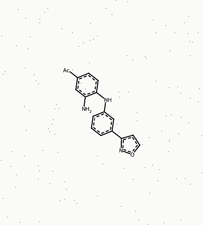 CC(=O)c1ccc(Nc2cccc(-c3ccon3)c2)c(N)c1